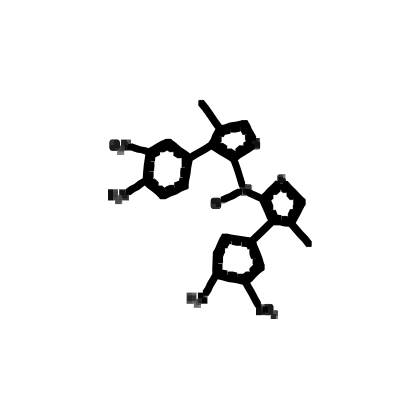 Cc1csc([S+]([O-])c2scc(C)c2-c2ccc(N)c([N+](=O)[O-])c2)c1-c1ccc(N)c([N+](=O)[O-])c1